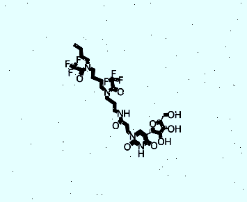 CCCCN(CCCCN(CCCNC(=O)CCn1cc([C@@H]2O[C@H](CO)[C@H](O)C2O)c(=O)[nH]c1=O)C(=O)C(F)(F)F)C(=O)C(F)(F)F